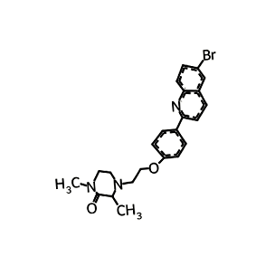 CC1C(=O)N(C)CCN1CCOc1ccc(-c2ccc3cc(Br)ccc3n2)cc1